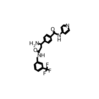 NC(CC(=O)NCc1cccc(C(F)(F)F)c1)c1ccc(C(=O)Nc2ccncc2)cc1